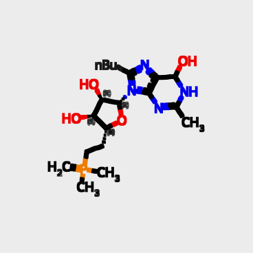 C=P(C)(C)CC[C@H]1O[C@@H](n2c(CCCC)nc3c2N=C(C)NC3O)[C@H](O)[C@@H]1O